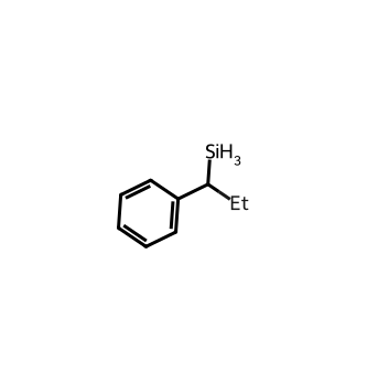 CCC([SiH3])c1ccccc1